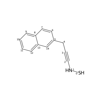 SNC#CCc1ccc2ccccc2c1